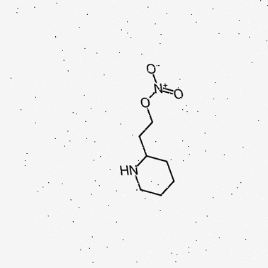 O=[N+]([O-])OCCC1CCC[CH]N1